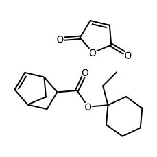 CCC1(OC(=O)C2CC3C=CC2C3)CCCCC1.O=C1C=CC(=O)O1